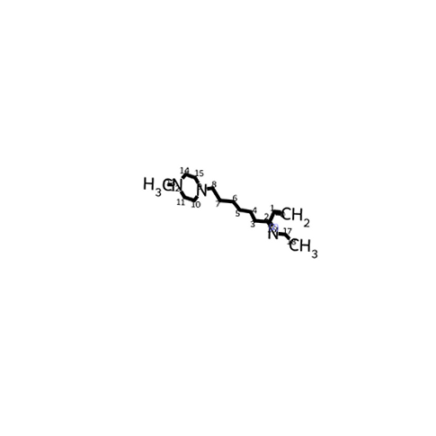 C=C/C(CCCCCCN1CCN(C)CC1)=N\CC